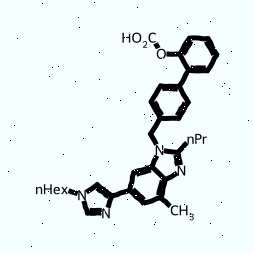 CCCCCCn1cnc(-c2cc(C)c3nc(CCC)n(Cc4ccc(-c5ccccc5OC(=O)O)cc4)c3c2)c1